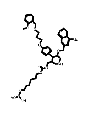 COc1ccccc1COCCCOc1ccc(C2C(COC(=O)OCCCCCCON(O)O)CNCC2OCc2cc(OC)c3ccccc3c2)cc1